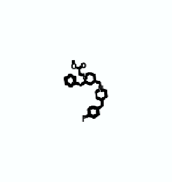 COC(=O)CN1CCC(CN2CCC(Cc3ccc(F)cc3)CC2)CC1Cc1ccccc1